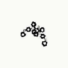 O=C(C(c1ccccc1)C1(Oc2ccc(Oc3ccccc3)cc2)C=CC=CC1)C(c1ccccc1)C1(Oc2ccc(Oc3ccccc3)cc2)C=CC=CC1